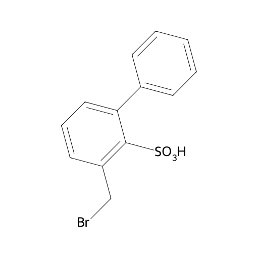 O=S(=O)(O)c1c(CBr)cccc1-c1ccccc1